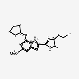 COc1cc(NC2CCCC2)c2[nH]c(C3=NC(CCI)CS3)cc2c1